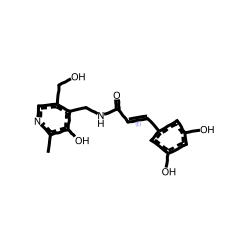 Cc1ncc(CO)c(CNC(=O)/C=C/c2cc(O)cc(O)c2)c1O